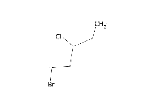 [CH2]CC(Cl)C[CH]Br